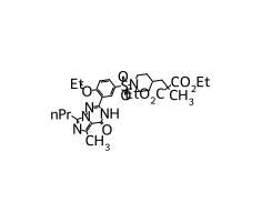 CCCc1nc(C)c2c(=O)[nH]c(-c3cc(S(=O)(=O)N4CCC(CC(C)(C(=O)OCC)C(=O)OCC)CC4)ccc3OCC)nn12